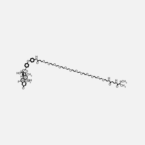 CSC(C)C(=O)NCCC(=O)NCCOCCOCCOCCOCCOCCOCCOCCOCCOCCOCCOCCOCCC(=O)Nc1ccc(Oc2ccc([C@@H]3O[C@@H]4C[C@H]5[C@@H]6C[C@H](F)C7=CC(=O)C=C[C@]7(C)[C@@]6(F)[C@@H](O)C[C@]5(C)[C@]4(C(=O)CO)O3)cc2)cc1